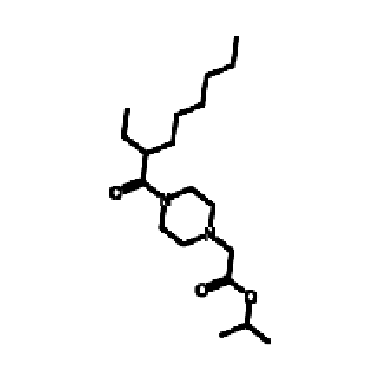 CCCCCCC(CC)C(=O)N1CCN(CC(=O)OC(C)C)CC1